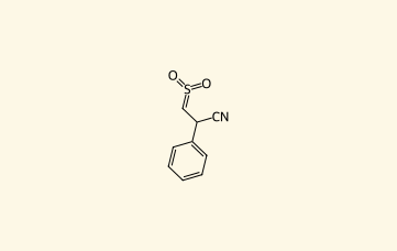 N#CC(C=S(=O)=O)c1ccccc1